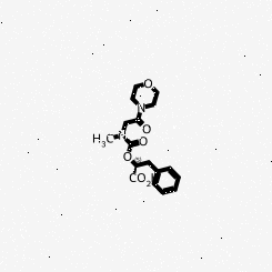 CN(CC(=O)N1CCOCC1)C(=O)O[C@@H](Cc1ccccc1)C(=O)O